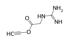 C#COC(=O)CNC(=N)N